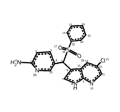 Nc1ccc(C(c2c[nH]c3ncc(Cl)cc23)S(=O)(=O)c2ccccc2)cn1